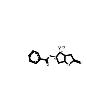 O=C[C@@H]1C2CC(=O)OC2C[C@H]1OC(=O)c1ccccc1